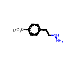 CCOC(=O)c1ccc(CCNN)cc1